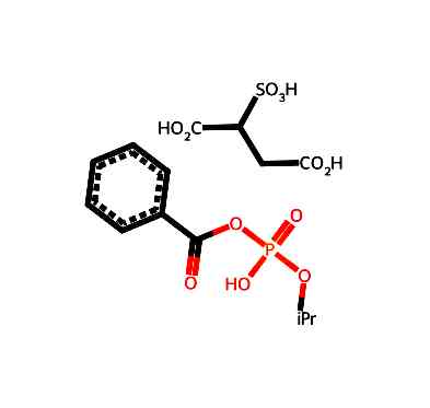 CC(C)OP(=O)(O)OC(=O)c1ccccc1.O=C(O)CC(C(=O)O)S(=O)(=O)O